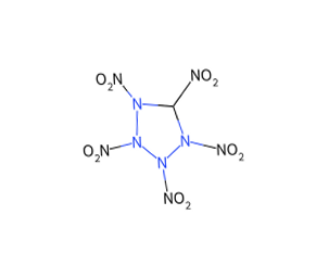 O=[N+]([O-])C1N([N+](=O)[O-])N([N+](=O)[O-])N([N+](=O)[O-])N1[N+](=O)[O-]